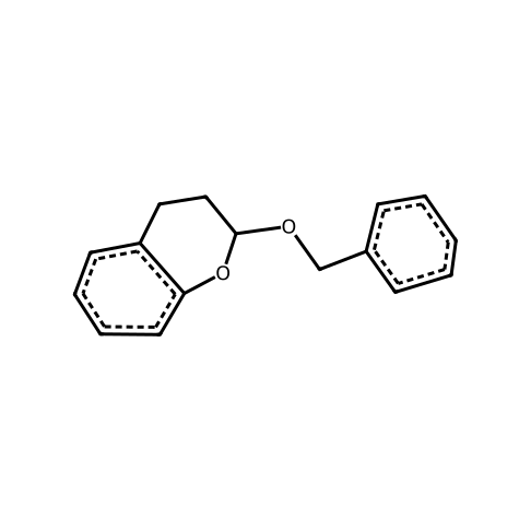 c1ccc(COC2CCc3ccccc3O2)cc1